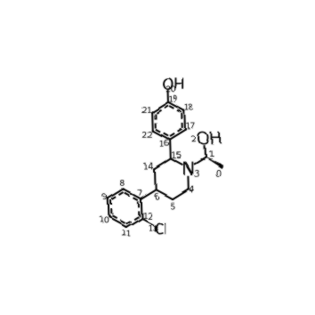 C[C@H](O)N1CCC(c2ccccc2Cl)CC1c1ccc(O)cc1